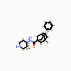 C[C@]12CC3CC(C(=O)N[C@@H]4CCNC[C@H]4F)(C1)C[C@]3(c1ccccc1)C2